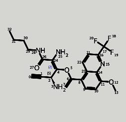 C#C[C@H](N)/C(OC(=C)c1ccc(OC)c2nc(C(F)(F)F)ccc12)=C(/N)C(=O)NCCCC